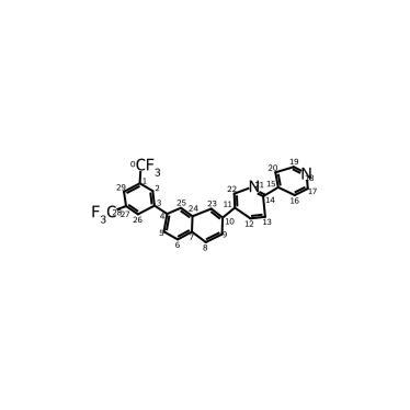 FC(F)(F)c1cc(-c2ccc3ccc(-c4ccc(-c5ccncc5)nc4)cc3c2)cc(C(F)(F)F)c1